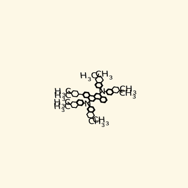 CC1(C)CCC(c2ccc3c(c2)c(N(c2ccc4c(c2)CCC(C)(C)C4)c2ccc4c(c2)CCC(C)(C)C4)cc2c4ccccc4c(N(c4ccc5c(c4)CCC(C)(C)C5)c4ccc5c(c4)CCC(C)(C)C5)cc32)CC1